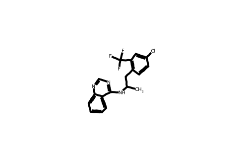 CC(Cc1ccc(Cl)cc1C(F)(F)F)Nc1ncnc2ccccc12